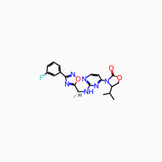 CC(C)C1COC(=O)N1c1ccnc(N[C@H](C)c2nc(-c3cccc(F)c3)no2)n1